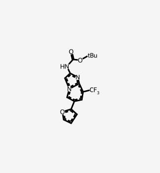 CC(C)(C)OC(=O)Nc1cn2cc(-c3ccco3)cc(C(F)(F)F)c2n1